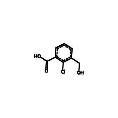 O=C(O)c1cccc(CO)c1Cl